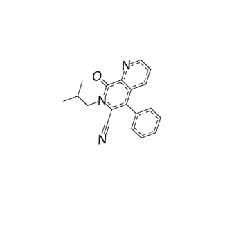 CC(C)Cn1c(C#N)c(-c2ccccc2)c2cccnc2c1=O